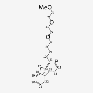 COCCOCCOCCCCc1cccc2c1Cc1ccccc1-2